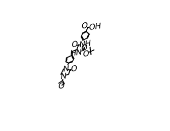 CC(C)(C)OC(=O)NC(Cc1ccc(N2CCN(C3COC3)CC2=O)cc1)C(=O)Nc1ccc(C(=O)O)cc1